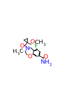 COCC1(C(=O)N2Cc3c(F)cc(C(N)=O)cc3OC[C@@H]2C)CC1